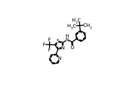 CC(C)(C)c1cccc(C(=O)Nc2nc(-c3ccccn3)c(C(F)(F)F)s2)c1